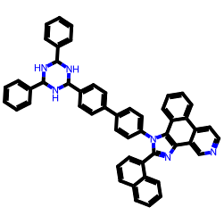 c1ccc(C2NC(c3ccccc3)NC(c3ccc(-c4ccc(-n5c(-c6cccc7ccccc67)nc6c7cnccc7c7ccccc7c65)cc4)cc3)N2)cc1